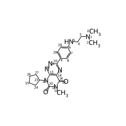 CN(C)CCNc1ccc(-c2nnc3c(n2)c(=O)n(C)c(=O)n3C2CCCC2)cc1